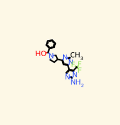 Cc1nc(-c2cnc(N)nc2C(F)(F)F)cc(C2CCN(C(O)c3ccccc3)C2)n1